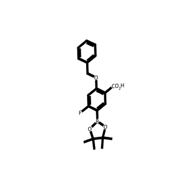 CC1(C)OB(c2cc(C(=O)O)c(OCc3ccccc3)cc2F)OC1(C)C